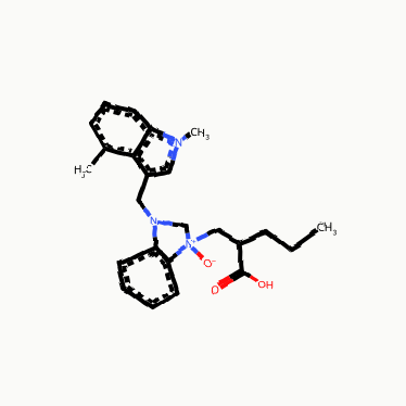 CCCC(C[N+]1([O-])CN(Cc2cn(C)c3cccc(C)c23)c2ccccc21)C(=O)O